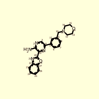 Nc1ncc(-c2cccc(CN3CCOCC3)c2)nc1-c1nc2ccccc2o1